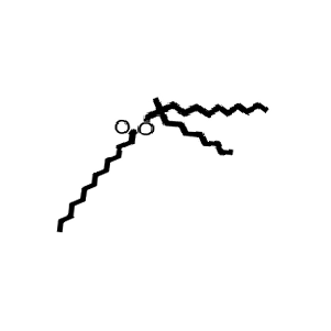 CCCCCCCCCCCCCC(=O)OCC(C)(CCCCCCCC)CCCCCCCCCC